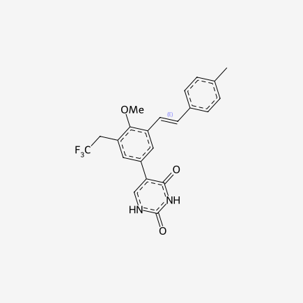 COc1c(/C=C/c2ccc(C)cc2)cc(-c2c[nH]c(=O)[nH]c2=O)cc1CC(F)(F)F